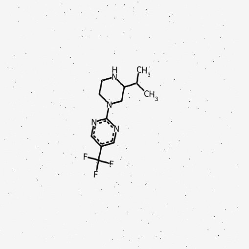 CC(C)C1CN(c2ncc(C(F)(F)F)cn2)CCN1